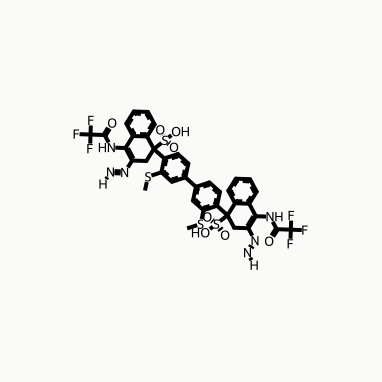 [H]/N=N/C1=C(NC(=O)C(F)(F)F)c2ccccc2C(c2ccc(-c3ccc(C4(S(=O)(=O)O)CC(/N=N/[H])=C(NC(=O)C(F)(F)F)c5ccccc54)c(SC)c3)cc2SC)(S(=O)(=O)O)C1